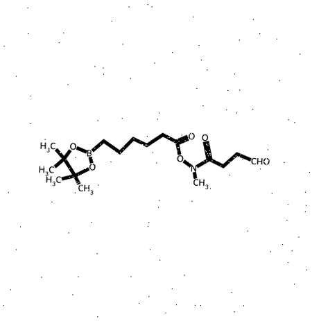 CN(OC(=O)CCCCCB1OC(C)(C)C(C)(C)O1)C(=O)CCC=O